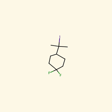 CC(C)(I)C1CCC(F)(F)CC1